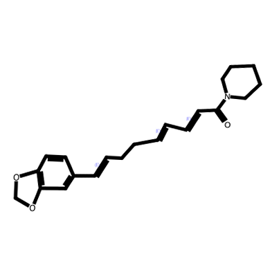 O=C(/C=C/C=C/CC/C=C/c1ccc2c(c1)OCO2)N1CCCCC1